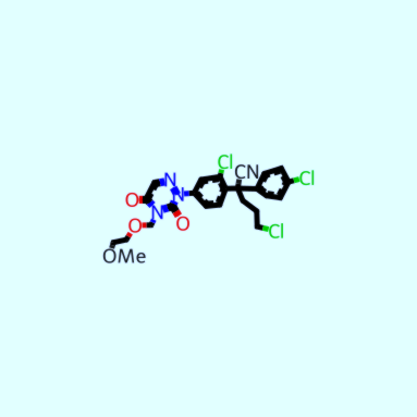 COCCOCn1c(=O)cnn(-c2ccc(C(C#N)(CCCCl)c3ccc(Cl)cc3)c(Cl)c2)c1=O